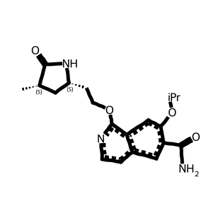 CC(C)Oc1cc2c(OCC[C@@H]3C[C@H](C)C(=O)N3)nccc2cc1C(N)=O